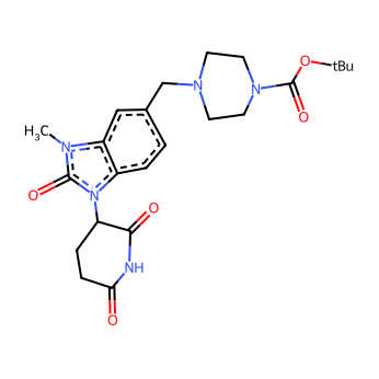 Cn1c(=O)n(C2CCC(=O)NC2=O)c2ccc(CN3CCN(C(=O)OC(C)(C)C)CC3)cc21